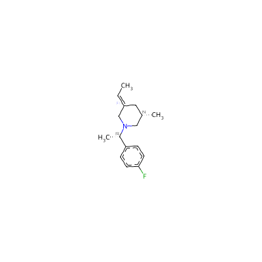 C/C=C1\C[C@H](C)CN([C@@H](C)c2ccc(F)cc2)C1